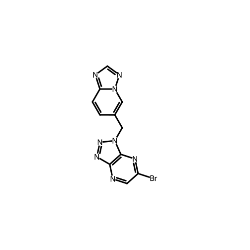 Brc1cnc2nnn(Cc3ccc4ncnn4c3)c2n1